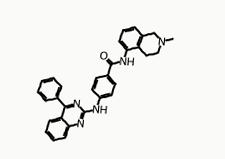 CN1CCc2c(cccc2NC(=O)c2ccc(Nc3nc(-c4ccccc4)c4ccccc4n3)cc2)C1